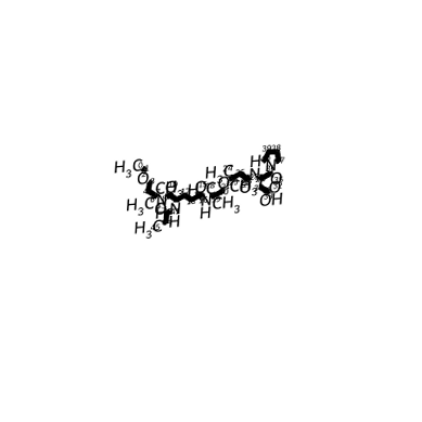 CCOCCC(C)(C)NC(=O)C(CCC(=O)NC(C)(C)COC(C)(C)CC(=O)N[C@H](CC(=O)O)C(=O)N1CCCC1)NC(=O)CC